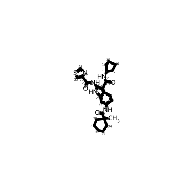 CC1(C(=O)Nc2ccc3c(C(=O)NC4CCCC4)c(NC(=O)c4cscn4)[nH]c3c2)CCCCC1